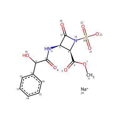 COC(=O)[C@H]1[C@@H](NC(=O)C(O)c2ccccc2)C(=O)N1S(=O)(=O)[O-].[Na+]